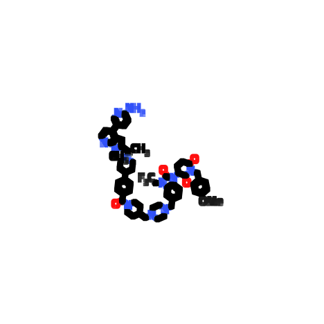 COc1ccc(CN2C(=O)CCC(n3c(=O)n(CC(F)(F)F)c4cc(CN5CCN(CC6CCN(C(=O)c7ccc(C8CCN([C@@H](C)c9cc%10c(-c%11ccc(N)nc%11)ccnc%10n9C)CC8)cc7)CC6)CC5)ccc43)C2=O)cc1